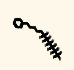 FC(F)(F)C(F)(F)C(F)(F)C(F)(F)C(F)(F)C(F)(F)CCOCCc1ccccc1